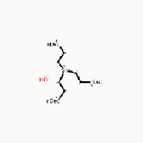 CCCCCCCCCCC[CH2][Sn+]([CH2]CCCCCCCCCCC)[CH2]CCCCCCCCCCC.[OH-]